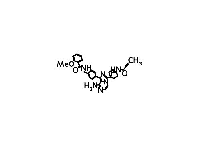 CC#CC(=O)NC12CCC(c3nc(-c4ccc(CNC(=O)c5ccccc5OC)cc4)c4c(N)nccn34)(CC1)C2